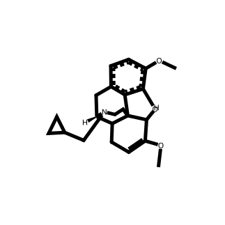 COC1=CCC2[C@@H]3Cc4ccc(OC)c5c4C2(CCN3CC2CC2)[C@@H]1O5